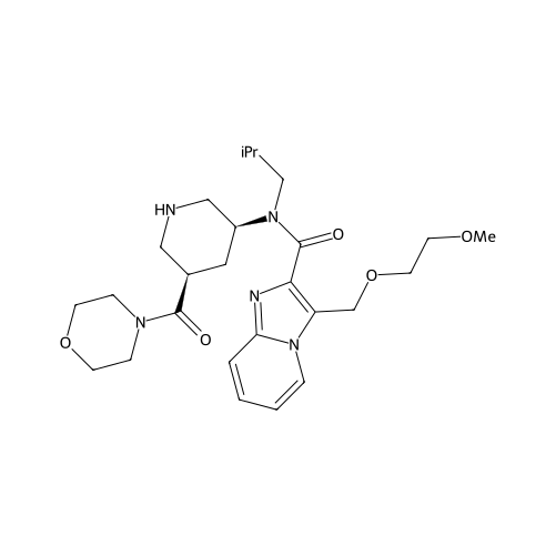 COCCOCc1c(C(=O)N(CC(C)C)[C@@H]2CNC[C@H](C(=O)N3CCOCC3)C2)nc2ccccn12